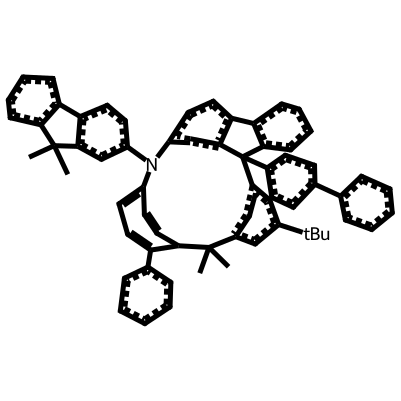 CC(C)(C)c1cc2cc(c1)C(C)(C)C1C=CC(=CC=C1c1ccccc1)N(c1ccc3c(c1)C(C)(C)c1ccccc1-3)c1ccc3c(c1)C2(c1ccc(-c2ccccc2)cc1)c1ccccc1-3